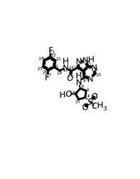 CS(=O)(=O)[C@H]1C[C@H](Nc2ncnc3[nH]nc(C(=O)NCc4cc(F)ccc4F)c23)[C@@H](O)C1